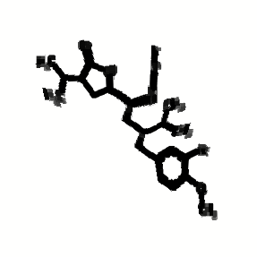 COc1ccc(C[C@@H](C[C@H](N=[N+]=[N-])C2CC(C(C)C)C(=O)O2)C(C)C)cc1Br